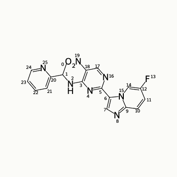 CC(Nc1nc(-c2cnc3ccc(F)cn23)ncc1[N+](=O)[O-])c1ccccn1